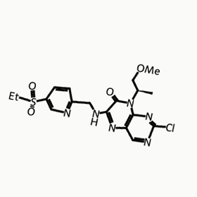 CCS(=O)(=O)c1ccc(CNc2nc3cnc(Cl)nc3n([C@H](C)COC)c2=O)nc1